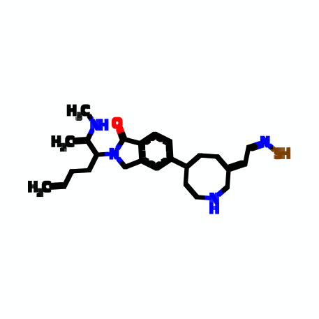 C=CCCC(C(=C)NC)N1Cc2cc(C3CCNC/C(=C/C=N\S)CC3)ccc2C1=O